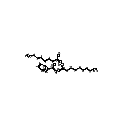 CCCCCCCC(=O)Cl.CCCCCCCCC(=O)Cl.O=C(Cl)C1CC2C=CC1C2